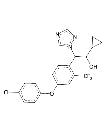 OC(C1CC1)C(c1ccc(Oc2ccc(Cl)cc2)cc1C(F)(F)F)n1cncn1